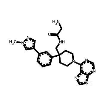 Cn1cc(-c2cccc(C3(CNC(=O)CN)CCN(c4ncnc5[nH]cnc45)CC3)c2)cn1